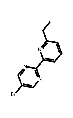 CCc1cccc(-c2ncc(Br)cn2)n1